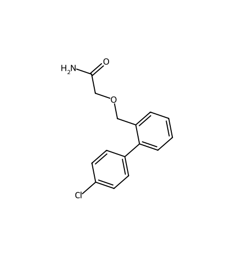 NC(=O)COCc1ccccc1-c1ccc(Cl)cc1